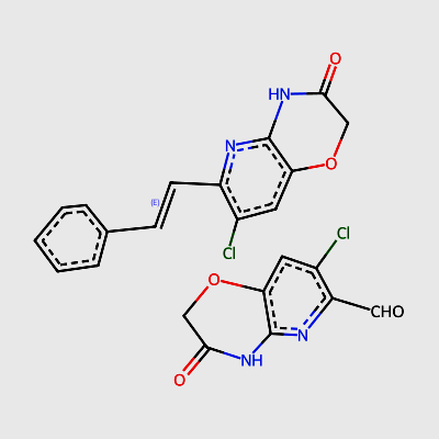 O=C1COc2cc(Cl)c(/C=C/c3ccccc3)nc2N1.O=Cc1nc2c(cc1Cl)OCC(=O)N2